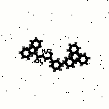 C=C/C(=C\C=C(/C)n1c2ccccc2c2ccccc21)c1cccc(-c2ccc3c4ccccc4c4ccccc4c3c2)c1